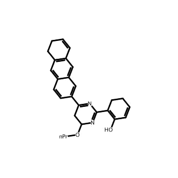 CCCOC1CC(c2ccc3cc4c(cc3c2)C=CCC4)=NC(C2=C(O)C=CCC2)=N1